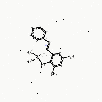 Cc1cc(C)c(N[Si](C)(C)C)c(/C=N/c2ccccc2)c1